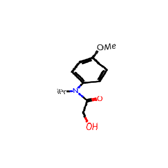 COc1ccc(N(C(=O)CO)C(C)C)cc1